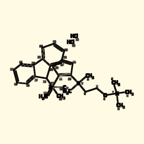 C[Si](C)(C)OCC[Si](C)(C)C1=[C]([Zr]([CH3])([CH3])(=[SiH2])[CH]2c3ccccc3-c3ccccc32)CC=C1.Cl.Cl